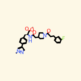 COC(=O)[C@H](Cc1ccc(-c2cnn(C)c2)cc1)NC(=O)CC1CCN(C(=O)CCc2cccc(F)c2)CC1